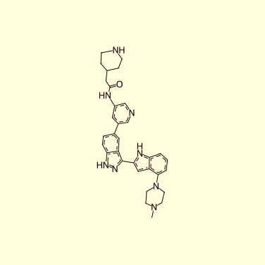 CN1CCN(c2cccc3[nH]c(-c4n[nH]c5ccc(-c6cncc(NC(=O)CC7CCNCC7)c6)cc45)cc23)CC1